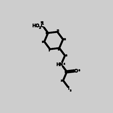 O=C(CI)NCC1CCC(C(=O)O)CC1